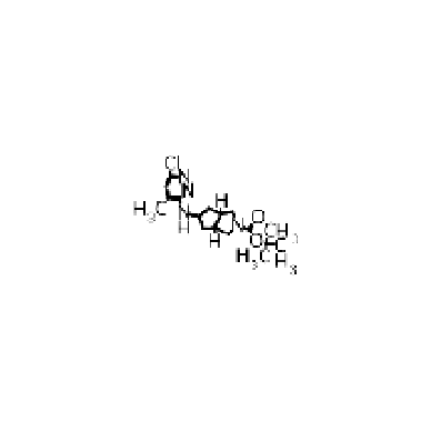 Cc1cc(Cl)nnc1NC1C[C@@H]2CN(C(=O)OC(C)(C)C)C[C@@H]2C1